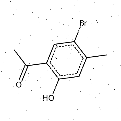 CC(=O)c1cc(Br)c(C)cc1O